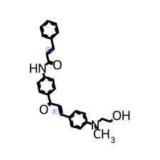 CN(CCO)c1ccc(/C=C/C(=O)c2ccc(NC(=O)/C=C/c3ccccc3)cc2)cc1